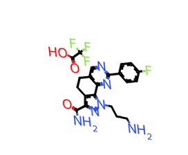 NCCCn1nc(C(N)=O)c2c1-c1nc(-c3ccc(F)cc3)ncc1CC2.O=C(O)C(F)(F)F